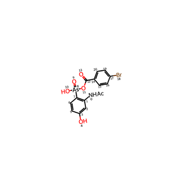 CC(=O)Nc1cc(O)ccc1[As](=O)(O)OC(=O)c1ccc(Br)cc1